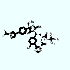 CC(C)(C)C[C@]1(c2ccc(-c3cnn(C(F)F)c3)cc2)NC(=N)N([C@H](COC(=O)NC(C)(C)C(F)(F)F)c2ccc(Cl)c(-c3ncnn3C(F)F)c2)C1=O